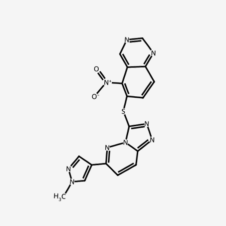 Cn1cc(-c2ccc3nnc(Sc4ccc5ncncc5c4[N+](=O)[O-])n3n2)cn1